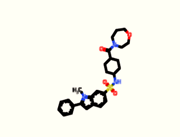 Cn1c(-c2ccccc2)cc2ccc(S(=O)(=O)NC3CCC(C(=O)N4CCCOCC4)CC3)cc21